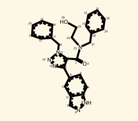 O=C(c1c(-c2ccc3[nH]ncc3c2)nnn1Cc1ccccc1)N(CCO)Cc1ccccc1